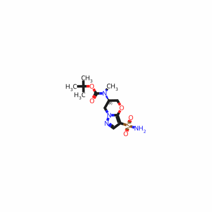 CN(C(=O)OC(C)(C)C)[C@H]1COc2c(S(N)(=O)=O)cnn2C1